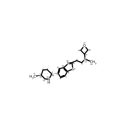 C[C@H]1CC[C@H](c2ccc3sc(CCN(C)C4COC4)nc3c2)NC1